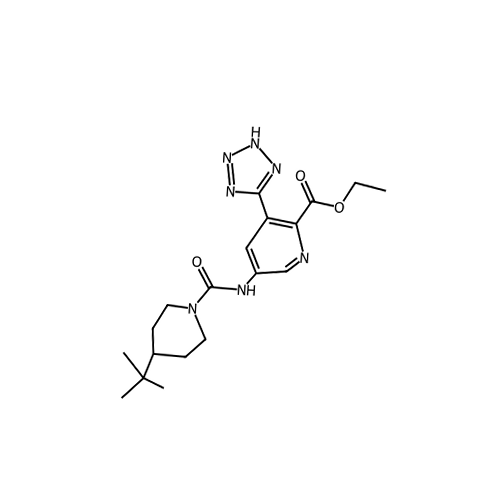 CCOC(=O)c1ncc(NC(=O)N2CCC(C(C)(C)C)CC2)cc1-c1nn[nH]n1